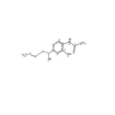 CCCCC(O)c1ccc(NC(C)=O)c(O)c1